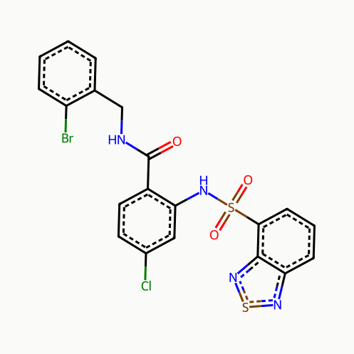 O=C(NCc1ccccc1Br)c1ccc(Cl)cc1NS(=O)(=O)c1cccc2nsnc12